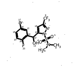 CN(C)S(=O)(=O)n1nc(C(F)(F)F)cc1C(O)c1cc(Br)ccc1F